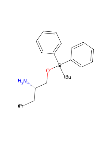 CC(C)C[C@H](N)CO[Si](c1ccccc1)(c1ccccc1)C(C)(C)C